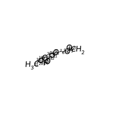 C=CC(=O)OCCCCOc1ccc(C(=O)Oc2ccc(C)cc2F)cc1